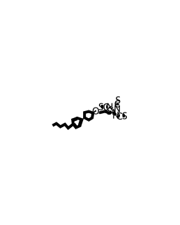 CCCCCc1ccc([C@H]2CC[C@H](OCCC[Si](N=C=S)(N=C=S)N=C=S)CC2)cc1